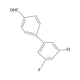 O=Cc1ccc(-c2cc(F)cc(Cl)c2)cc1